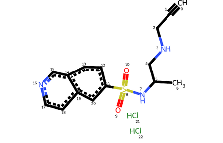 C#CCNCC(C)NS(=O)(=O)c1ccc2cnccc2c1.Cl.Cl